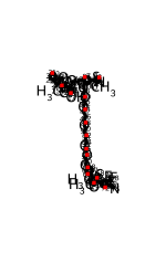 Cc1ncsc1-c1ccc(CNC(=O)[C@@H]2C[C@@H](O)CN2C(=O)C(C(C)C)N2Cc3ccccc3C2=O)c(OCCOCCOCCCCCOCCCCCOCCOCCOc2ccc(N3C(=S)N(c4ccc(C#N)c(C(F)(F)F)c4)C(=O)C3(C)C)cc2)c1